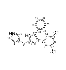 Clc1cc(Cl)cc(-c2nc(Cc3cc[nH]c3)[nH]c2-c2ccccc2)c1